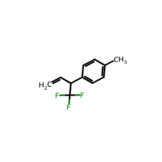 C=CC(c1ccc(C)cc1)C(F)(F)F